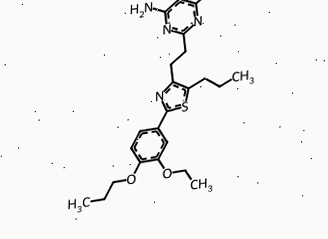 CCCOc1ccc(-c2nc(CCc3nc(N)cc(N)n3)c(CCC)s2)cc1OCC